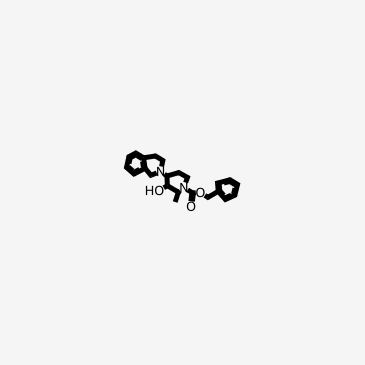 CC1C(O)C(N2CCc3ccccc3C2)CCN1C(=O)OCc1ccccc1